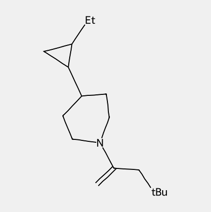 C=C(CC(C)(C)C)N1CCC(C2CC2CC)CC1